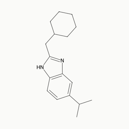 CC(C)c1ccc2[nH]c(CC3CCCCC3)nc2c1